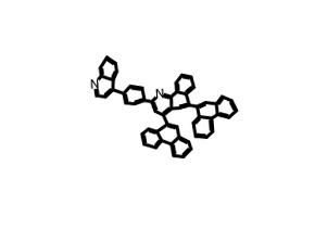 c1ccc2c(c1)cc(-c1cc3c(-c4cc5ccccc5c5ccccc45)cc(-c4ccc(-c5ccnc6ccccc56)cc4)nc3c3ccccc13)c1ccccc12